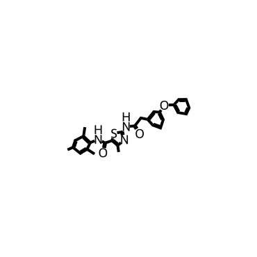 Cc1cc(C)c(NC(=O)c2sc(NC(=O)Cc3cccc(Oc4ccccc4)c3)nc2C)c(C)c1